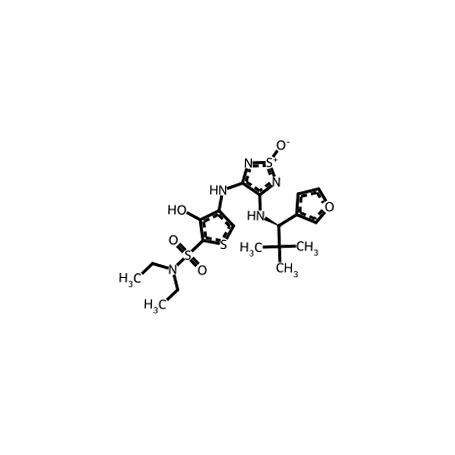 CCN(CC)S(=O)(=O)c1scc(Nc2n[s+]([O-])nc2N[C@@H](c2ccoc2)C(C)(C)C)c1O